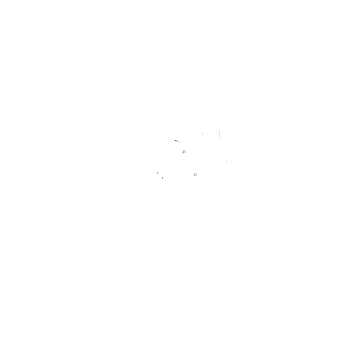 COC(=O)[C@H](CN1C(=O)c2cccc(C)c2C1=O)[C@@H](C)O